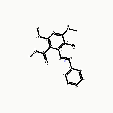 COC(=O)c1c(OC)cc(OC)c(Br)c1/C=C/c1ccccc1